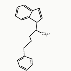 O=C(O)C(CCCc1ccccc1)C1C=Cc2ccccc21